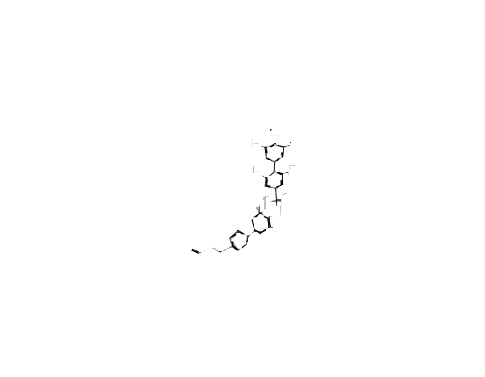 C=CCCc1ccc(-c2cc(F)c(OC(F)(F)c3cc(F)c(-c4cc(F)c(F)c(F)c4)c(F)c3)c(Cl)c2)cc1